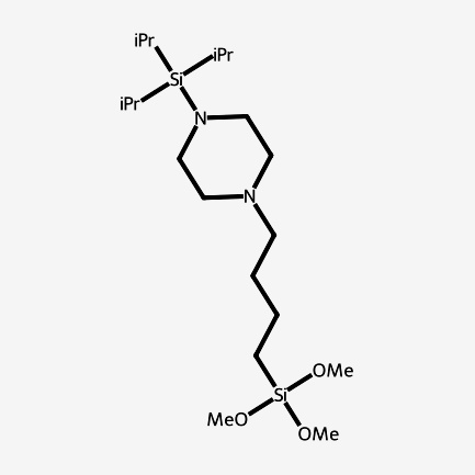 CO[Si](CCCCN1CCN([Si](C(C)C)(C(C)C)C(C)C)CC1)(OC)OC